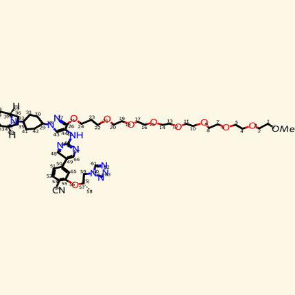 COCCOCCOCCOCCOCCOCCOCCOCCCOc1nn(C2CCC(N3[C@@H]4CC[C@H]3COC4)CC2)cc1Nc1ncc(-c2ccc(C#N)c(O[C@@H](C)Cn3cnnn3)c2)cn1